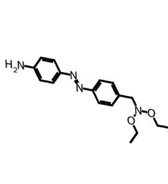 CCON(Cc1ccc(N=Nc2ccc(N)cc2)cc1)OCC